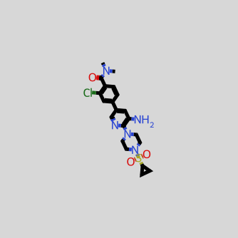 CN(C)C(=O)c1ccc(-c2cnc(N3CCN(S(=O)(=O)C4CC4)CC3)c(N)c2)cc1Cl